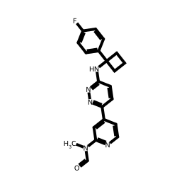 CN(C=O)c1cc(-c2ccc(NC3(c4ccc(F)cc4)CCC3)nn2)ccn1